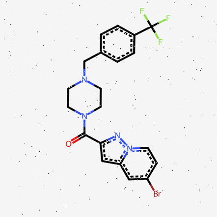 O=C(c1cc2cc(Br)ccn2n1)N1CCN(Cc2ccc(C(F)(F)F)cc2)CC1